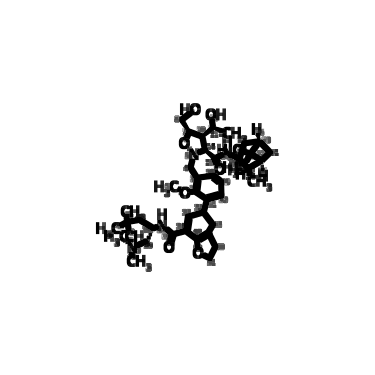 COc1c(CN2O[C@@H](CO)[C@@H]([C@H](C)O)[C@H]2C(=O)N[C@H]2C[C@H]3C[C@@H]([C@@H]2C)C3(C)C)cccc1C1C=C(C(=O)N[C@H](CN(C)C)CC(C)(C)C)C2=C(CCO2)C1